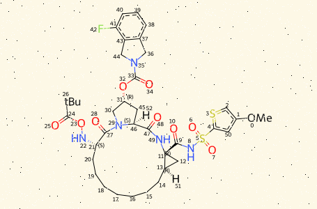 COc1csc(S(=O)(=O)NC(=O)[C@@]23C[C@H]2CCCCCCC[C@H](NOC(=O)C(C)(C)C)C(=O)N2C[C@H](OC(=O)N4Cc5cccc(F)c5C4)C[C@H]2C(=O)N3)c1